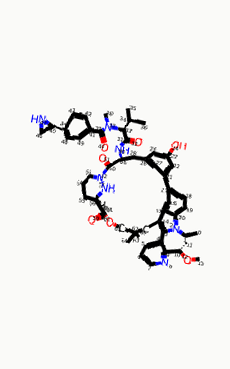 CCn1c(-c2cccnc2[C@H](C)OC)c2c3cc(ccc31)-c1cc(O)cc(c1)C[C@H](NC(=O)[C@H](C(C)C)N(C)C(=O)c1ccc([C@H]3CN3)cc1)C(=O)N1CCC[C@H](N1)C(=O)OCC(C)(C)C2